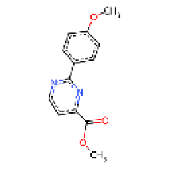 COC(=O)c1ccnc(-c2ccc(OC)cc2)n1